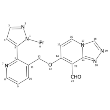 CC(C)n1nccc1-c1ncccc1COc1ccn2cnnc2c1C=O